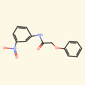 O=C(COc1ccccc1)Nc1cccc([N+](=O)[O-])c1